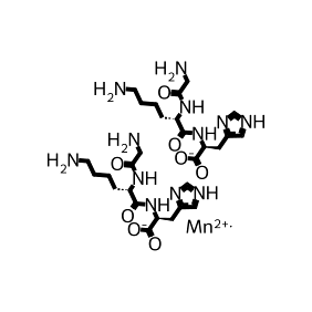 NCCCC[C@H](NC(=O)CN)C(=O)N[C@@H](Cc1c[nH]cn1)C(=O)[O-].NCCCC[C@H](NC(=O)CN)C(=O)N[C@@H](Cc1c[nH]cn1)C(=O)[O-].[Mn+2]